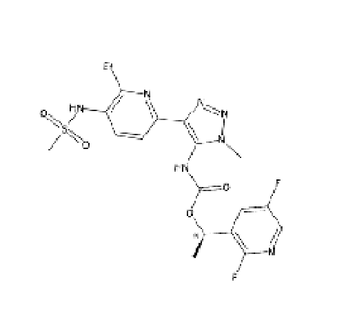 CCc1nc(-c2nnn(C)c2NC(=O)O[C@H](C)c2cc(F)cnc2F)ccc1NS(C)(=O)=O